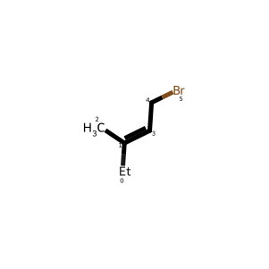 CC/C(C)=C/CBr